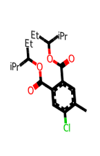 CCC(OC(=O)c1cc(C)c(Cl)cc1C(=O)OC(CC)C(C)C)C(C)C